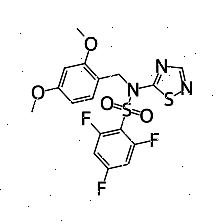 COc1ccc(CN(c2ncns2)S(=O)(=O)c2c(F)cc(F)cc2F)c(OC)c1